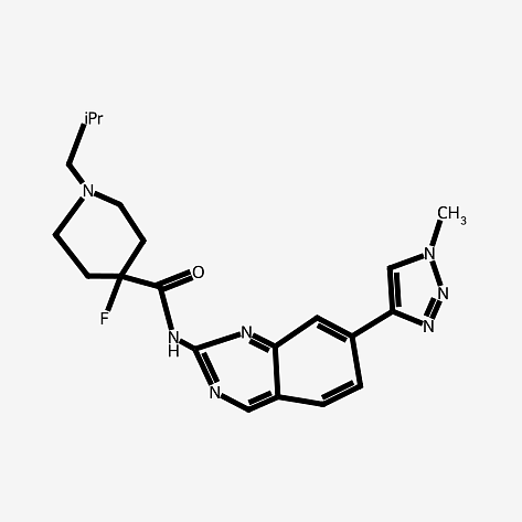 CC(C)CN1CCC(F)(C(=O)Nc2ncc3ccc(-c4cn(C)nn4)cc3n2)CC1